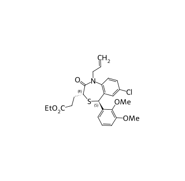 C=CCN1C(=O)[C@@H](CCC(=O)OCC)S[C@H](c2cccc(OC)c2OC)c2cc(Cl)ccc21